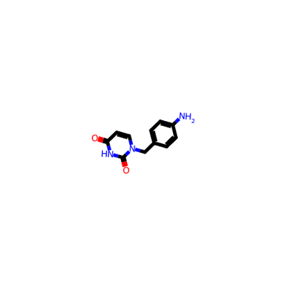 Nc1ccc(Cn2ccc(=O)[nH]c2=O)cc1